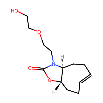 O=C1O[C@H]2CC/C=C/CC[C@@H]2N1CCOCCO